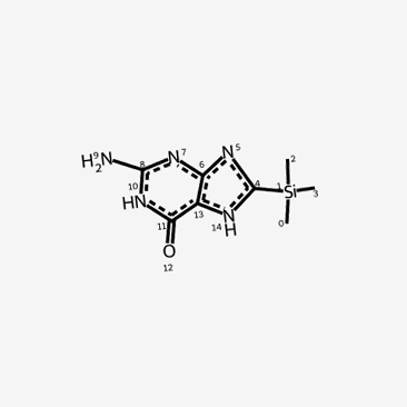 C[Si](C)(C)c1nc2nc(N)[nH]c(=O)c2[nH]1